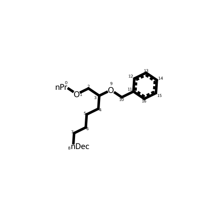 [CH2]CCOCC(CCCCCCCCCCCCCC)OCc1ccccc1